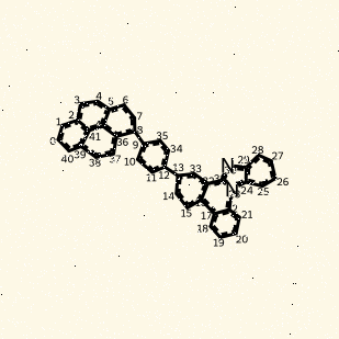 c1cc2ccc3ccc(-c4ccc(-c5ccc6c7ccccc7n7c8ccccc8nc7c6c5)cc4)c4ccc(c1)c2c34